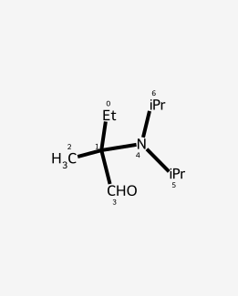 CCC(C)(C=O)N(C(C)C)C(C)C